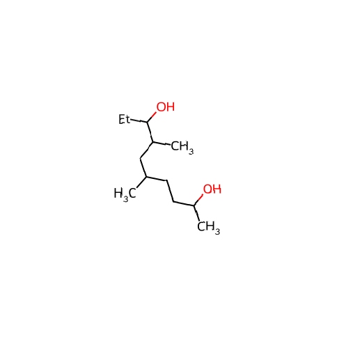 CCC(O)C(C)CC(C)CCC(C)O